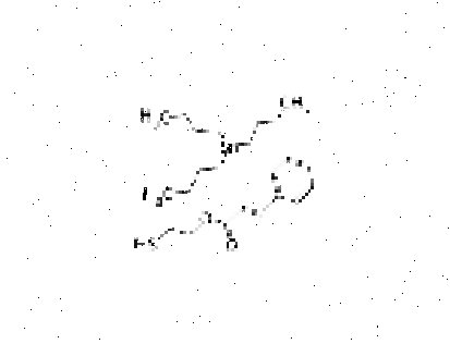 CCC[CH2][Sn]([CH2]CCC)[CH2]CCC.O=C(C=Cc1ccccc1)OCCS